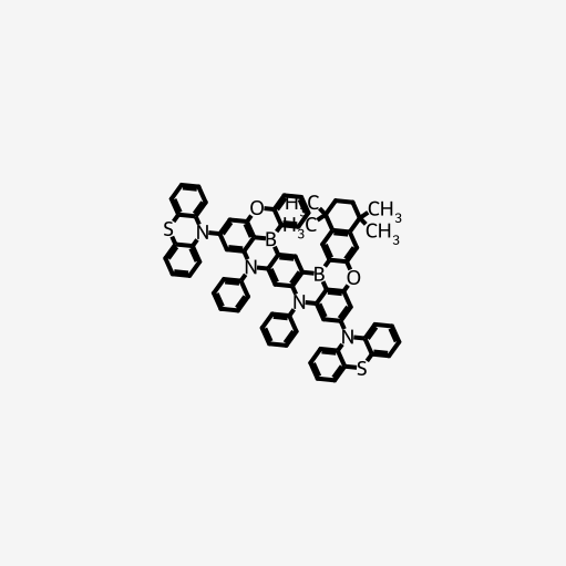 CC1(C)CCC(C)(C)c2cc3c(cc21)Oc1cc(N2c4ccccc4Sc4ccccc42)cc2c1B3c1cc3c(cc1N2c1ccccc1)N(c1ccccc1)c1cc(N2c4ccccc4Sc4ccccc42)cc2c1B3c1ccccc1O2